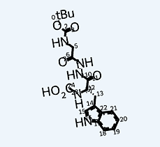 CC(C)(C)OC(=O)NCC(=O)NNC(=O)[C@H](Cc1c[nH]c2ccccc12)NC(=O)O